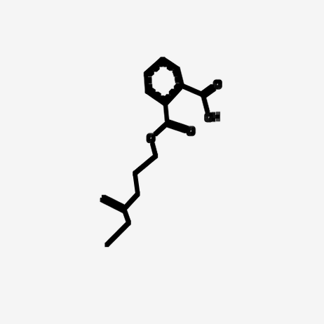 C=C(CC)CCCOC(=O)c1ccccc1C(=O)O